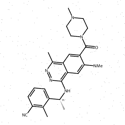 CNc1cc2c(N[C@H](C)c3cccc(C#N)c3C)nnc(C)c2cc1C(=O)N1CCN(C)CC1